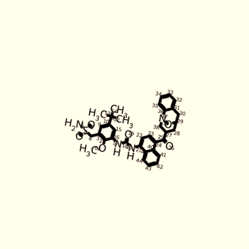 COc1c(CS(N)(=O)=O)cc(C(C)(C)C)cc1NC(=O)Nc1ccc(C(=O)C2CC3Cc4ccccc4N(C2)O3)c2ccccc12